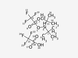 CC(C)(C)[SiH](OS(=O)(=O)C(F)(F)F)C(C)(C)C.O=S(=O)(O)C(F)(F)F